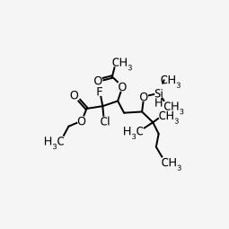 CCCC(C)(C)C(CC(OC(C)=O)C(F)(Cl)C(=O)OCC)O[SiH](C)C